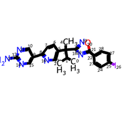 CC(C)C(C)(c1ccc(-c2cnc(N)nc2)nc1)c1noc(-c2ccc(I)cc2)n1